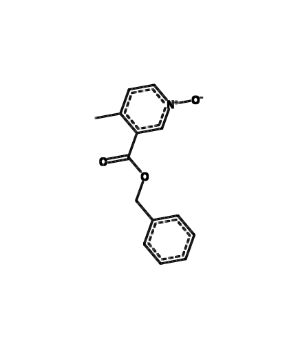 Cc1cc[n+]([O-])cc1C(=O)OCc1ccccc1